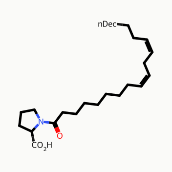 CCCCCCCCCCCC/C=C\C/C=C\CCCCCCCC(=O)N1CCCC1C(=O)O